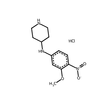 COc1cc(NC2CCNCC2)ccc1[N+](=O)[O-].Cl